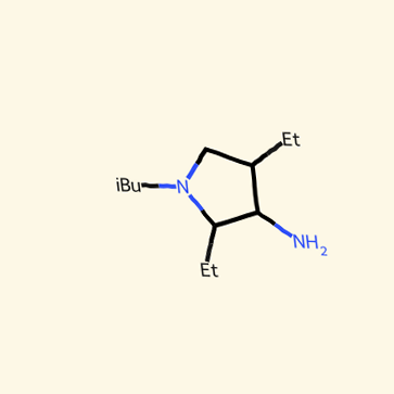 CCC1CN(C(C)CC)C(CC)C1N